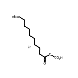 CCCCCCCCCCCCCCCCCC(=O)OC(=O)O.[Zn]